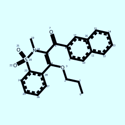 CCCOC1=C(C(=O)c2ccc3ccccc3c2)N(C)S(=O)(=O)c2ccccc21